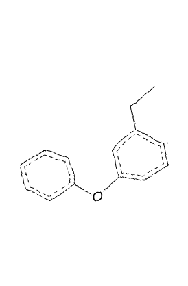 CCc1[c]ccc(Oc2ccccc2)c1